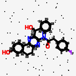 O=C(Cc1ccc(I)cc1)Nc1nc2c(nc1C(O)c1ccccc1)-c1ccc(O)cc1CC2